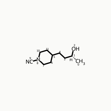 C[C@@H](O)CCC1CCN(C#N)CC1